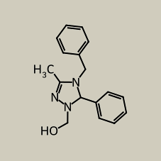 CC1=NN(CO)C(c2ccccc2)N1Cc1ccccc1